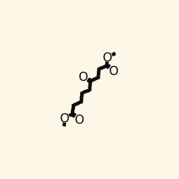 COC(=O)CCCCC(=O)CCC(=O)OC